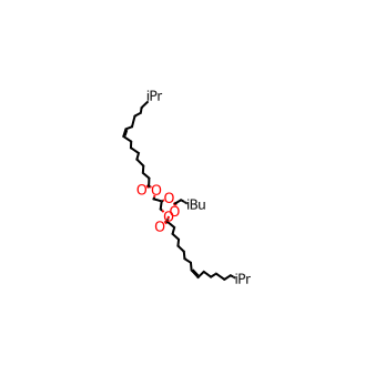 CCC(C)CC(=O)OC(COC(=O)CCCCCCC/C=C\CCCCCC(C)C)COC(=O)CCCCCCC/C=C\CCCCCC(C)C